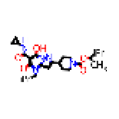 CC(C)Cn1c(=O)c(C(=O)NC2CC2)c(O)n2nc(C3CCN(C(=O)OC(C)C(C)C)CC3)cc12